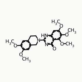 COc1cc2c(cc1OC)CN(c1nc(=O)c3c(OC)c(OC)c(OC)cc3[nH]1)CC2